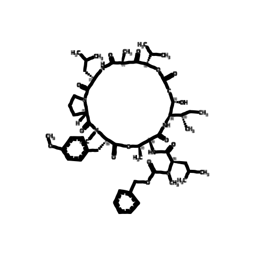 CC[C@H](C)[C@H]1NC(=O)[C@@H](NC(=O)[C@@H](CC(C)C)N(C)C(=O)OCc2ccccc2)[C@@H](C)OC(=O)[C@H](Cc2ccc(OC)cc2)N(C)C(=O)[C@@H]2CCCN2C(=O)[C@H](CC(C)C)NC(=O)[C@@H](C)C(=O)[C@H](C(C)C)OC(=O)C[C@@H]1O